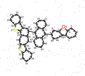 c1ccc2c(c1)oc1cc(-c3c4ccccc4c(-c4cc5c6ccccc6sc5c5cc6sc7ccccc7c6cc45)c4ccccc34)ccc12